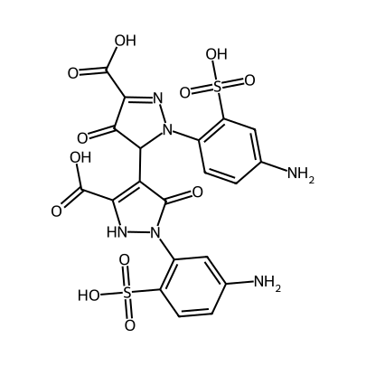 Nc1ccc(S(=O)(=O)O)c(-n2[nH]c(C(=O)O)c(C3C(=O)C(C(=O)O)=NN3c3ccc(N)cc3S(=O)(=O)O)c2=O)c1